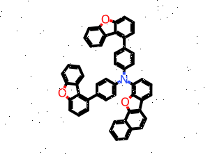 c1ccc2c(c1)ccc1c3cccc(N(c4ccc(-c5cccc6oc7ccccc7c56)cc4)c4ccc(-c5cccc6oc7ccccc7c56)cc4)c3oc21